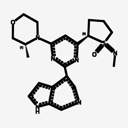 CN=S1(=O)CCC[C@@H]1c1cc(N2CCOC[C@H]2C)nc(-c2cncc3[nH]ccc23)n1